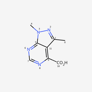 Cc1nn(C)c2ncnc(C(=O)O)c12